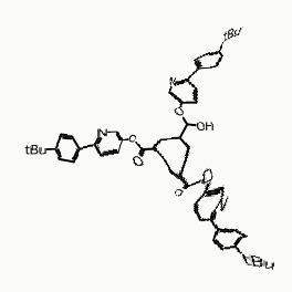 CC(C)(C)c1ccc(-c2ccc(OC(=O)C3CC(C(=O)Oc4ccc(-c5ccc(C(C)(C)C)cc5)nc4)CC(C(O)Oc4ccc(-c5ccc(C(C)(C)C)cc5)nc4)C3)cn2)cc1